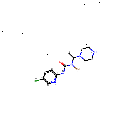 CC(N1CCNCC1)N(S)C(=O)Nc1ccc(Br)cn1